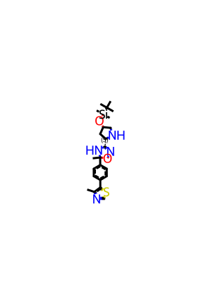 Cc1ncsc1-c1ccc(C2(C)NC([C@@H]3CC(O[Si](C)(C)C(C)(C)C)CN3)=NO2)cc1